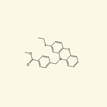 CCSc1ccc2c(c1)N(Cc1ccc(C(=O)OC)cc1)c1ccccc1S2